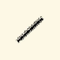 F[C](F)C(F)(F)C(F)(F)C(F)(F)C(F)(F)C(F)(F)C(F)(F)C(F)(F)C(F)(F)C(F)(F)C(F)(F)C(F)(F)C(F)(F)C(F)(F)C(F)(F)C(F)(F)C(F)(F)[C](F)F